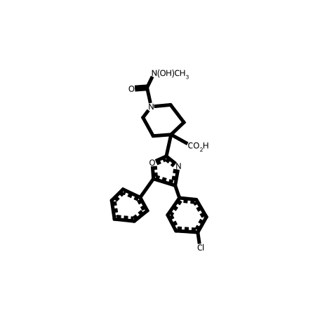 CN(O)C(=O)N1CCC(C(=O)O)(c2nc(-c3ccc(Cl)cc3)c(-c3ccccc3)o2)CC1